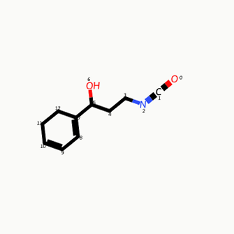 O=C=NCCC(O)C1=CC=CCC1